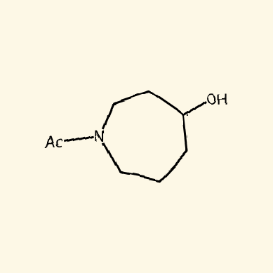 CC(=O)N1CCC[C](O)CC1